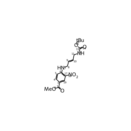 COC(=O)c1ccc(NCC=CCNC(=O)OC(C)(C)C)c([N+](=O)[O-])c1